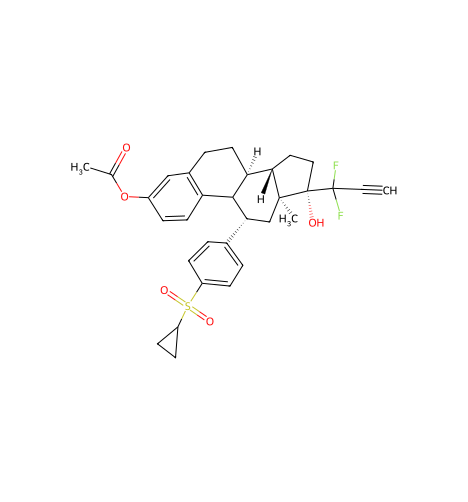 C#CC(F)(F)[C@]1(O)CC[C@H]2[C@@H]3CCc4cc(OC(C)=O)ccc4C3[C@@H](c3ccc(S(=O)(=O)C4CC4)cc3)C[C@@]21C